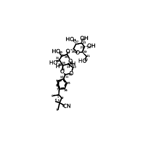 CC(CC(C)(C)C#N)c1ccc(C2OC[C@H]3O[C@H](O[C@H]4O[C@H](CO)[C@@H](O)[C@H](O)[C@H]4O)[C@H](O)[C@@H](O)[C@@H]3O2)cc1